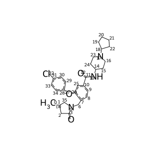 C[C@H]1CC(=O)N(Cc2ccc(C(=O)NC3CCN(C4CCCC4)CC3)cc2Oc2ccc(Cl)cc2)C1